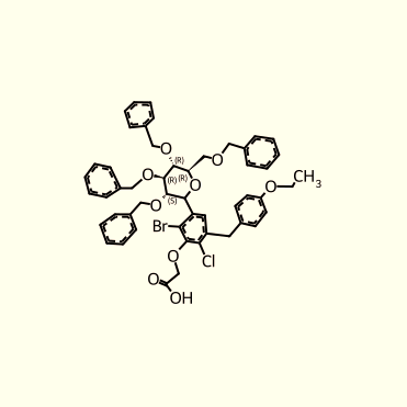 CCOc1ccc(Cc2cc(C3O[C@H](COCc4ccccc4)[C@@H](OCc4ccccc4)[C@H](OCc4ccccc4)[C@H]3OCc3ccccc3)c(Br)c(OCC(=O)O)c2Cl)cc1